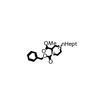 CCCCCCCN1CCN(C(=O)OCc2ccccc2)C(C(=O)OC)C1